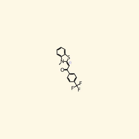 CN1/C(=C\C(=O)c2ccc(C(F)(F)F)cc2)Sc2ccccc21